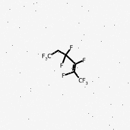 FC(=C(F)C(F)(F)CC(F)(F)F)C(F)(F)F